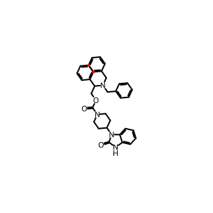 O=C(OCC(c1ccccc1)N(Cc1ccccc1)Cc1ccccc1)N1CCC(n2c(=O)[nH]c3ccccc32)CC1